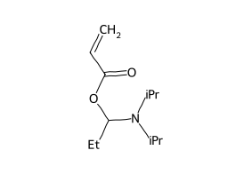 C=CC(=O)OC(CC)N(C(C)C)C(C)C